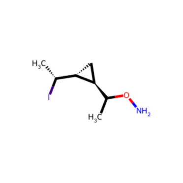 CC(ON)[C@@H]1C[C@H]1[C@@H](C)I